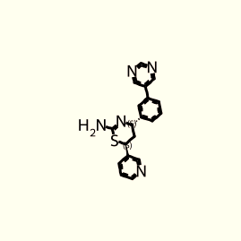 NC1=N[C@H](c2cccc(-c3cncnc3)c2)C[C@@H](c2cccnc2)S1